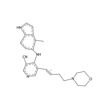 Cc1c(Nc2c(C#N)cncc2/C=C/CCN2CCOCC2)ccc2[nH]ccc12